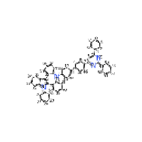 c1ccc(-c2cc(-c3ccc(-c4ccc(N5c6ccccc6-c6c(n(-c7ccccc7)c7ccccc67)-c6ccccc65)cc4)cc3)nc(-c3ccccc3)n2)cc1